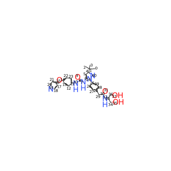 CC(C)(C)c1cc(NC(=O)Nc2ccc(Oc3ccncc3)cc2)n(-c2ccc(CC(=O)NC(CO)CO)cc2)n1